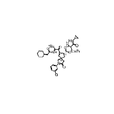 CCC[C@H](OC(=O)[C@@H]1C[C@]2(CC(=O)N(c3cccc(Cl)c3)C2)CN1C(=O)[C@@H](NC(=O)CC1CCCCC1)C(C)(C)C)C(O)C(=O)NC1CC1